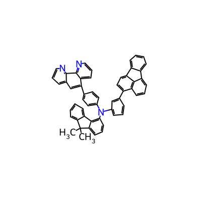 CC1(C)c2ccccc2-c2c(N(c3ccc(-c4cc5cccnc5c5ncccc45)cc3)c3cccc(-c4ccc5c6c(cccc46)-c4ccccc4-5)c3)cccc21